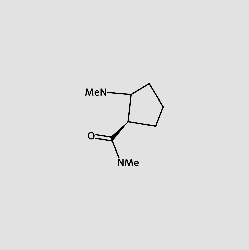 CNC(=O)[C@@H]1CCCC1NC